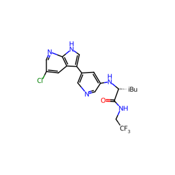 CC[C@@H](C)C(Nc1cncc(-c2c[nH]c3ncc(Cl)cc23)c1)C(=O)NCC(F)(F)F